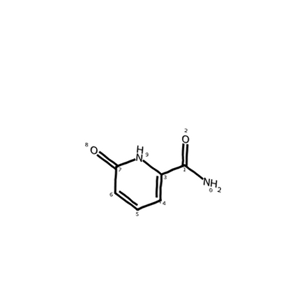 NC(=O)c1[c]ccc(=O)[nH]1